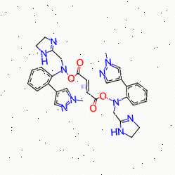 Cn1cc(-c2ccccc2N(CC2=NCCN2)OC(=O)/C=C/C(=O)ON(CC2=NCCN2)c2ccccc2-c2cnn(C)c2)cn1